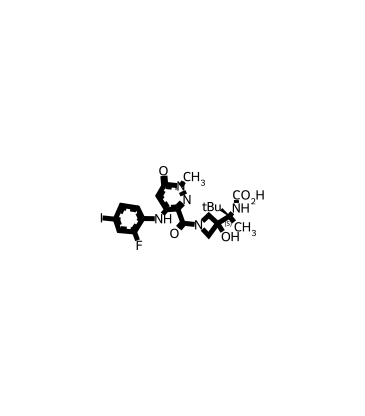 Cn1nc(C(=O)N2CC(O)([C@@](C)(NC(=O)O)C(C)(C)C)C2)c(Nc2ccc(I)cc2F)cc1=O